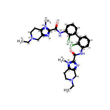 CCN1CCc2c(nc(C(=O)Nc3cccc(-c4cccc(NC(=O)c5nc6c(n5C)CCN(CC)C6)c4Cl)c3Cl)n2C)C1